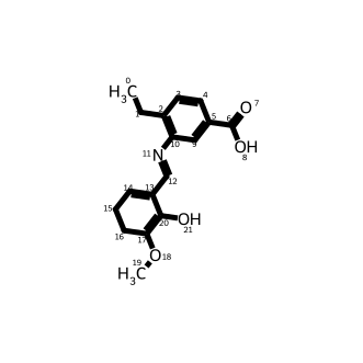 CCc1ccc(C(=O)O)cc1/N=C/C1=CCCC(OC)=C1O